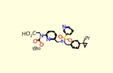 CC(C)C1(c2ccc(CN(Cc3cccc(N(CC(=O)O)C(=O)OC(C)(C)C)n3)S(=O)(=O)c3cccnc3)cc2)CC1